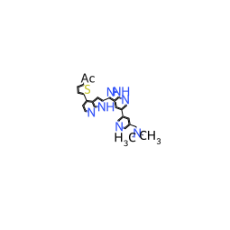 CC(=O)c1ccc(-c2ccnc3[nH]c(-c4n[nH]c5ncc(-c6cncc(CN(C)C)c6)cc45)cc23)s1